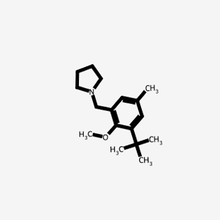 COc1c(CN2CCCC2)cc(C)cc1C(C)(C)C